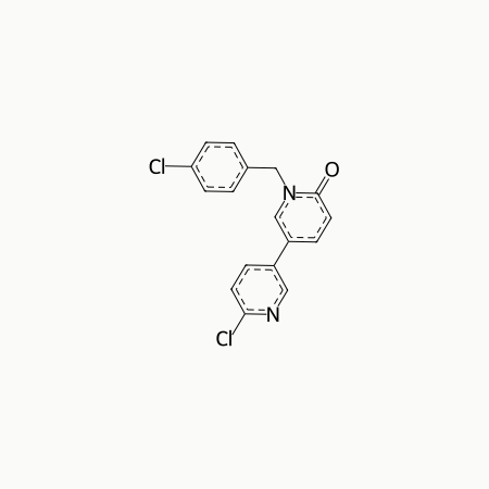 O=c1ccc(-c2ccc(Cl)nc2)cn1Cc1ccc(Cl)cc1